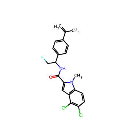 C=C(C)c1ccc(C(CF)NC(=O)c2cc3c(Cl)c(Cl)ccc3n2C)cc1